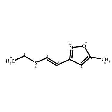 CCSC=Cc1cc(C)on1